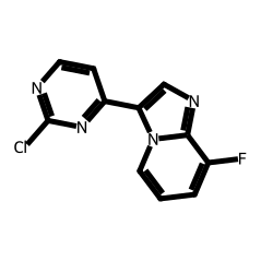 Fc1cccn2c(-c3ccnc(Cl)n3)cnc12